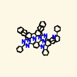 c1ccc(-c2ccc3c(c2)c2cc(-c4ccccc4)ccc2n3-c2c(-c3nc(-c4ccccc4)nc(-c4ccccc4)n3)ccc(-n3c4ccccc4c4cc(-c5cccc(-c6ccccc6)n5)ccc43)c2-c2nc(-c3ccccc3)nc(-c3ccccc3)n2)cc1